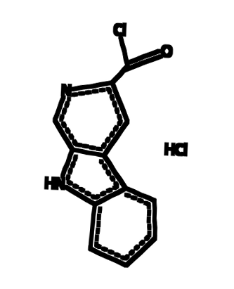 Cl.O=C(Cl)c1cc2c(cn1)[nH]c1ccccc12